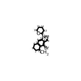 C=C1CCCc2cc3c(cnn3C3CCCCO3)c(Br)c21